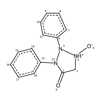 O=C1C[NH+]([O-])N(c2ccccc2)N1c1ccccc1